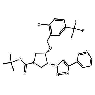 CC(C)(C)OC(=O)N1C[C@@H](n2cc(-c3cccnc3)nn2)[C@H](OCc2cc(C(F)(F)F)ccc2Cl)C1